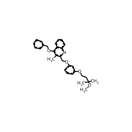 COC(C)(C)CCOc1cccc(OCc2nc3ccccc3c(OCc3ccccc3)c2C)c1